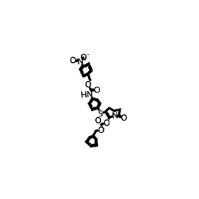 O=C(Nc1ccc(SC2=C(OC(=O)OCc3ccccc3)N3C(=O)CC3C2)cc1)OCc1ccc([N+](=O)[O-])cc1